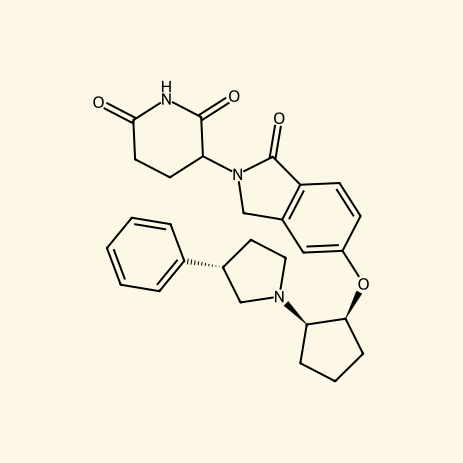 O=C1CCC(N2Cc3cc(O[C@H]4CCC[C@H]4N4CC[C@@H](c5ccccc5)C4)ccc3C2=O)C(=O)N1